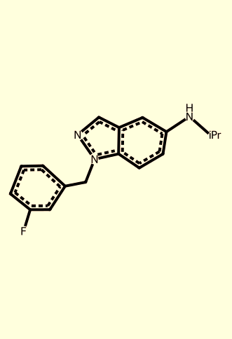 CC(C)Nc1ccc2c(cnn2Cc2cccc(F)c2)c1